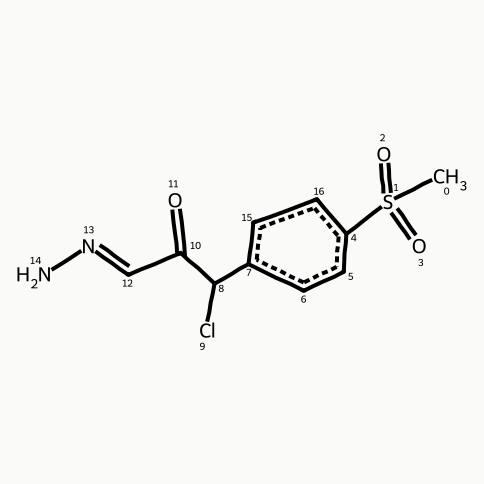 CS(=O)(=O)c1ccc(C(Cl)C(=O)C=NN)cc1